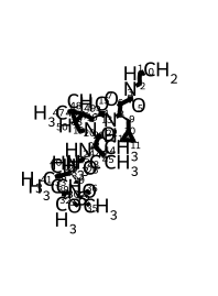 C=CCNC(=O)C(=O)[C@@H](CC1CC1)NC(=O)[C@@H]1[C@@H]2[C@H](CN1C(=O)[C@@H](NC(=O)N[C@H](CN(C(C)C)S(C)(=O)=O)C(C)(C)C)C(C)(C)C)C2(C)C